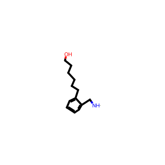 [NH]Cc1ccccc1CCCCCCO